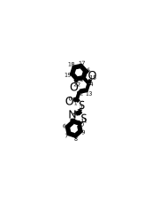 O=C(Sc1nc2ccccc2s1)C1=CC2Oc3cccc(c32)O1